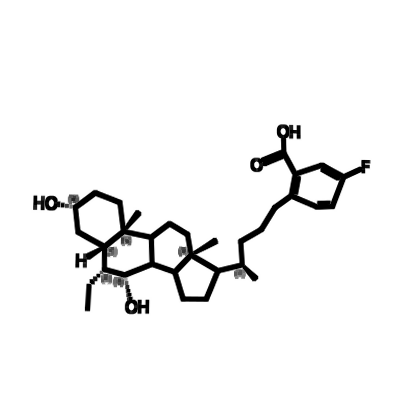 CC[C@H]1[C@@H](O)C2C3CCC([C@H](C)CCCc4ccc(F)cc4C(=O)O)[C@@]3(C)CCC2[C@@]2(C)CC[C@@H](O)C[C@@H]12